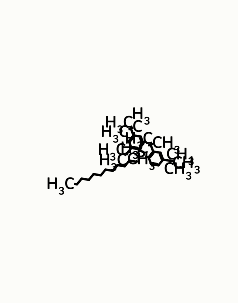 CCCCCCCCCCCCP(c1ccc(C(C)(C)C)cc1C(C)(C)C)c1ccc(C(C)(C)C)cc1C(C)(C)C